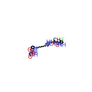 Cc1c(NC(=O)CN2CCN(CCCCCCCCNc3cccc4c3C(=O)N(C3CCC(=O)NC3=O)C4=O)CC2)c[nH]c1/C=C1\C(=O)Nc2ccc(F)cc21